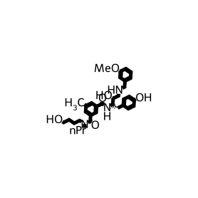 CCCN(CCCCO)C(=O)c1cc(C)cc(C(=O)N[C@@H](Cc2ccc(O)cc2)C(O)CNCc2cccc(OC)c2)c1